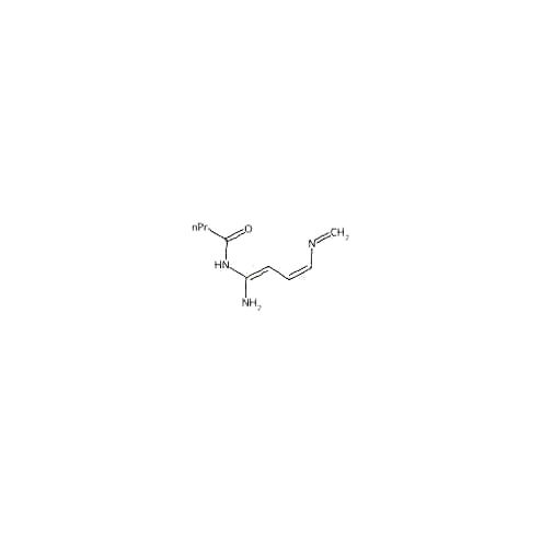 C=N/C=C\C=C(/N)NC(=O)CCC